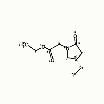 CCOC(=O)CN1C[C@@H](CF)CC1=O